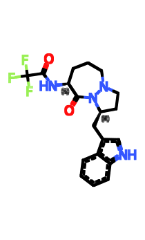 O=C1[C@@H](NC(=O)C(F)(F)F)CCCN2CC[C@@H](Cc3c[nH]c4ccccc34)N12